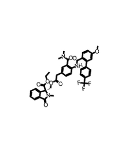 CCOC(=O)[C@]1(COC(=O)Cc2ccc(NC(=O)c3ccc(OC)cc3-c3ccc(C(F)(F)F)cc3)c(C(=O)N(C)C)c2)c2ccccc2C(=O)N1C